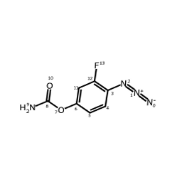 [N-]=[N+]=Nc1ccc(OC(N)=O)cc1F